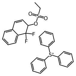 CCS(=O)(=O)OC1C=Cc2ccccc2C1(F)F.c1ccc([S+](c2ccccc2)c2ccccc2)cc1